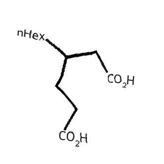 CCCCCCC(CCC(=O)O)CC(=O)O